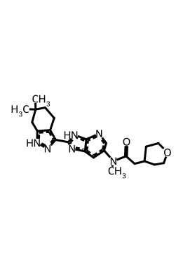 CN(C(=O)CC1CCOCC1)c1cnc2[nH]c(-c3n[nH]c4c3CCC(C)(C)C4)nc2c1